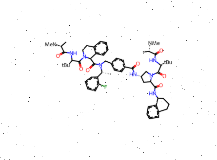 CN[C@@H](C)C(=O)NC(C(=O)N1C[C@@H](NC(=O)c2ccc(CN(C(=O)C3c4ccccc4CCN3C(=O)C(NC(=O)[C@H](C)NC)C(C)(C)C)[C@H](C)c3ccccc3F)cc2)CC1C(=O)NC1CCCc2ccccc21)C(C)(C)C